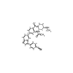 CNC1CCN(C(=O)c2ccc(-c3ccc4ncc(-c5ccc(C#N)cc5)n4c3)cc2NC(C)=O)CC1